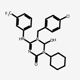 O=C1N=C(Nc2cccc(C(F)(F)F)c2)N(Cc2ccc(Cl)cc2)C(O)N1C1CCCCC1